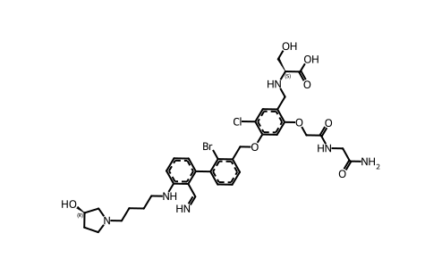 N=Cc1c(NCCCCN2CC[C@@H](O)C2)cccc1-c1cccc(COc2cc(OCC(=O)NCC(N)=O)c(CN[C@@H](CO)C(=O)O)cc2Cl)c1Br